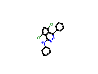 Clc1ccc(Cl)c2c(-c3ccccc3)nnc(Nc3ccccc3)c12